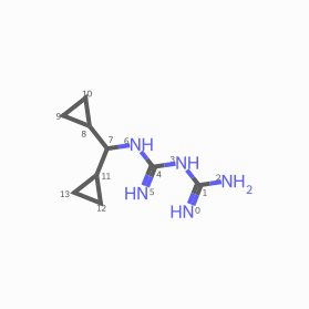 N=C(N)NC(=N)NC(C1CC1)C1CC1